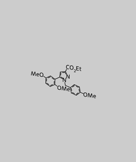 CCOC(=O)c1cc(-c2cc(OC)ccc2OC)n(Cc2ccc(OC)cc2)n1